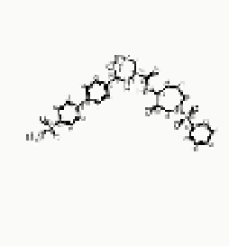 CC(C)C[C@H](N[C@@H](c1ccc(-c2ccc(S(C)(=O)=O)cc2)cc1)C(F)(F)F)C(=O)NC1CCCN(S(=O)(=O)c2ccccn2)CC1=O